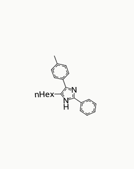 CCCCCCc1[nH]c(-c2ccccc2)nc1-c1ccc(C)cc1